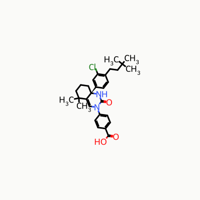 CC(C)(C)CCc1ccc([C@]23CCCC(C)(C)C2=CN(c2ccc(C(=O)O)cc2)C(=O)N3)cc1Cl